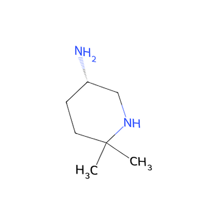 CC1(C)CC[C@H](N)CN1